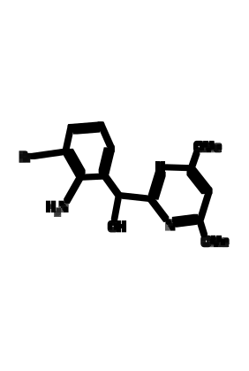 COc1cc(OC)nc(C(O)c2cccc(Br)c2N)n1